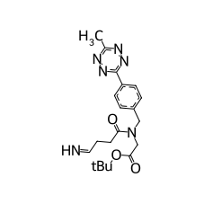 Cc1nnc(-c2ccc(CN(CC(=O)OC(C)(C)C)C(=O)CCC=N)cc2)nn1